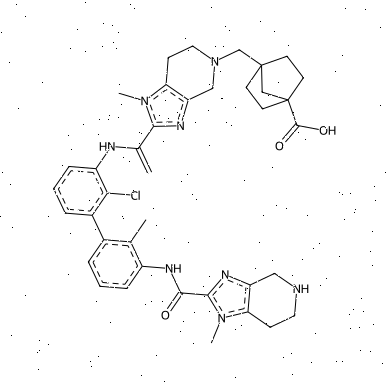 C=C(Nc1cccc(-c2cccc(NC(=O)c3nc4c(n3C)CCNC4)c2C)c1Cl)c1nc2c(n1C)CCN(CC13CCC(C(=O)O)(CC1)C3)C2